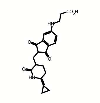 O=C(O)CCNc1ccc2c(c1)C(=O)C(CC1CCC(=C3CC3)NC1=O)C2=O